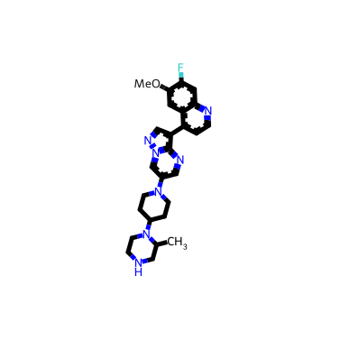 COc1cc2c(-c3cnn4cc(N5CCC(N6CCNCC6C)CC5)cnc34)ccnc2cc1F